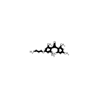 Cc1cc(C)c(-c2c(-c3c(C)cc(OCCCP)cc3C)c2=O)c(C)c1